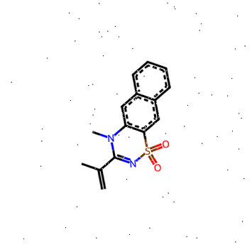 C=C(C)C1=NS(=O)(=O)c2cc3ccccc3cc2N1C